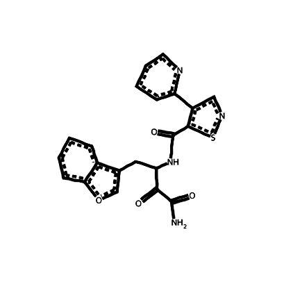 NC(=O)C(=O)C(Cc1coc2ccccc12)NC(=O)c1sncc1-c1ccccn1